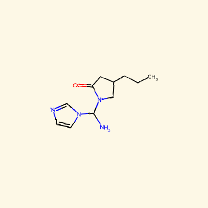 CCCC1CC(=O)N(C(N)n2ccnc2)C1